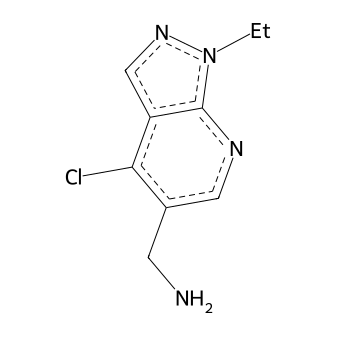 CCn1ncc2c(Cl)c(CN)cnc21